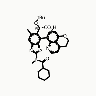 Cc1cc2nc(N(C)C(=O)C3CCCCC3)sc2c(-c2ccc3c4c(ccnc24)CCO3)c1[C@H](OC(C)(C)C)C(=O)O